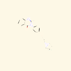 Cc1nc2cccc(C(F)(F)F)c2c(=O)n1-c1ccc(OCCCN2CCC(F)(F)C2)cc1